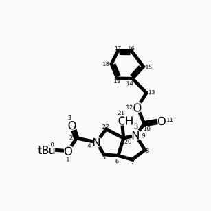 CC(C)(C)OC(=O)N1CC2CCN(C(=O)OCc3ccccc3)C2(C)C1